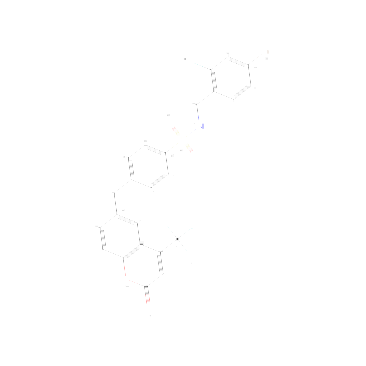 O=c1cc(C(F)(F)F)c2cc(Cc3ccc(S(=O)(=O)NCc4ccc(Br)cc4F)cc3)ccc2o1